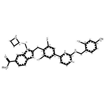 COC(=O)c1ccc2nc(Cc3c(F)cc(-c4ccnc(OCc5ccc(C#N)cc5F)n4)cc3F)n(C[C@@H]3CCO3)c2c1